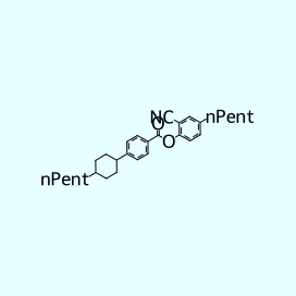 CCCCCc1ccc(OC(=O)c2ccc(C3CCC(CCCCC)CC3)cc2)c(C#N)c1